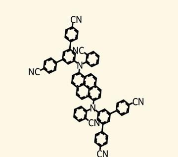 N#Cc1ccc(-c2cc(-c3ccc(C#N)cc3)cc(N(c3ccccc3C#N)c3ccc4ccc5c(N(c6cc(-c7ccc(C#N)cc7)cc(-c7ccc(C#N)cc7)c6)c6ccccc6C#N)ccc6ccc3c4c65)c2)cc1